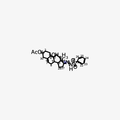 CC(=O)O[C@H]1CC[C@@]2(C)C(=CCC3C2CC[C@]2(C)/C(=N/NS(=O)(=O)c4ccccc4)CCC32)C1